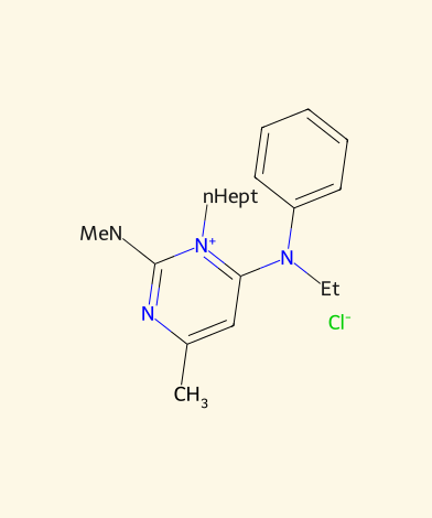 CCCCCCC[n+]1c(N(CC)c2ccccc2)cc(C)nc1NC.[Cl-]